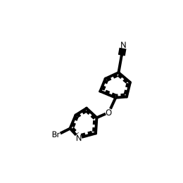 N#Cc1ccc(Oc2ccc(Br)nc2)cc1